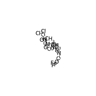 Br.CN(C(=O)c1ccc(Cl)c(Cl)c1)c1ccc(Oc2ccc3cc(C(=O)N4CCN(Cc5ccc(OCC(F)(F)F)cc5)CC4)n(C)c3c2)nc1